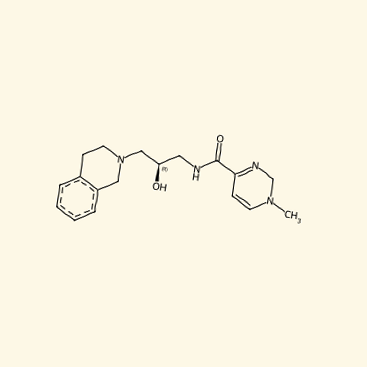 CN1C=CC(C(=O)NC[C@@H](O)CN2CCc3ccccc3C2)=NC1